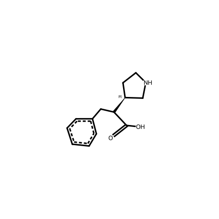 O=C(O)C(Cc1ccccc1)[C@H]1CCNC1